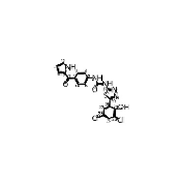 O=C(Nc1ccc(C(=O)c2ccc[nH]2)cc1)Nc1nnc(-c2cc(Cl)cc(Cl)c2O)s1